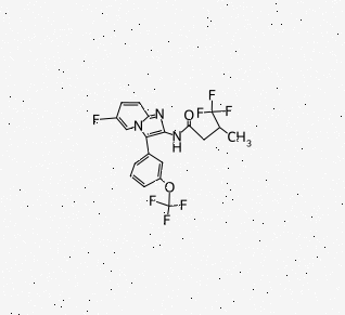 CC(CC(=O)Nc1nc2ccc(F)cn2c1-c1cccc(OC(F)(F)F)c1)C(F)(F)F